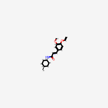 C=COc1ccc(/C=C/C(=O)N[C@H]2CC[C@H](C)CC2)cc1OC